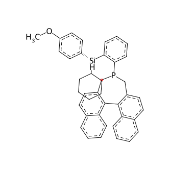 COc1ccc([Si@H](c2ccccc2P2Cc3ccc4ccccc4c3-c3c(ccc4ccccc34)C2)C2CCCCC2)cc1